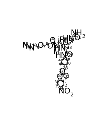 CC(C)[C@H](NC(=O)OCCOCCN=[N+]=[N-])C(=O)N[C@@H](CCCNC(N)=O)C(=O)Nc1ccc(COC(=O)Oc2ccc([N+](=O)[O-])cc2)cc1